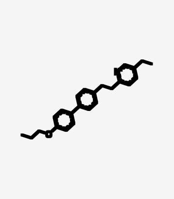 CCCOc1ccc(-c2ccc(CCc3ccc(CC)cn3)cc2)cc1